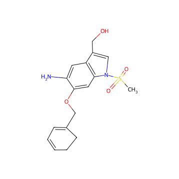 CS(=O)(=O)n1cc(CO)c2cc(N)c(OCC3=CC=CCC3)cc21